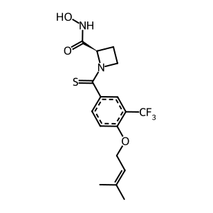 CC(C)=CCOc1ccc(C(=S)N2CC[C@@H]2C(=O)NO)cc1C(F)(F)F